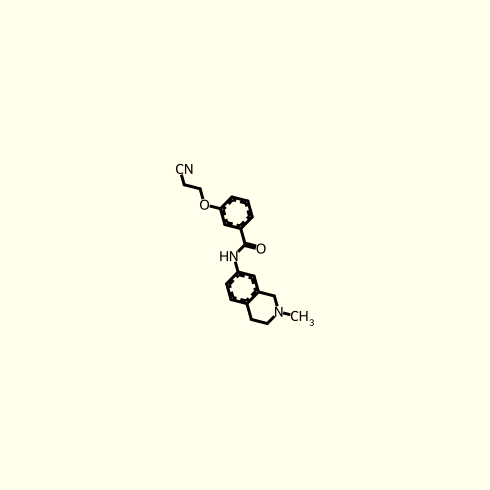 CN1CCc2ccc(NC(=O)c3cccc(OCCC#N)c3)cc2C1